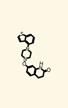 O=C1CCc2ccc(ON3CCN(c4cccc5sccc45)CC3)cc2N1